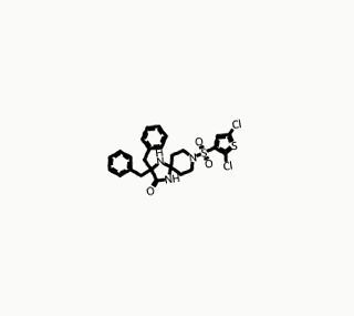 O=C1NC2(CCN(S(=O)(=O)c3cc(Cl)sc3Cl)CC2)NC1(Cc1ccccc1)Cc1ccccc1